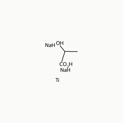 CC(O)C(=O)O.[NaH].[NaH].[Ti]